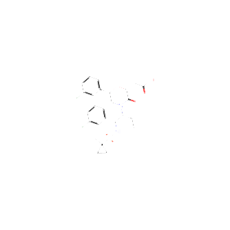 CC[C@@H](CNS(=O)(=O)C1(C)CC1)N1C(=O)[C@@H](CC(=O)O)O[C@H](c2cccc(Cl)c2)[C@H]1c1ccc(Cl)cc1